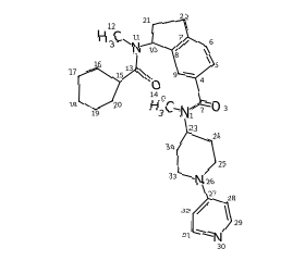 CN(C(=O)c1ccc2c(c1)C(N(C)C(=O)C1CCCCC1)CC2)C1CCN(c2ccncc2)CC1